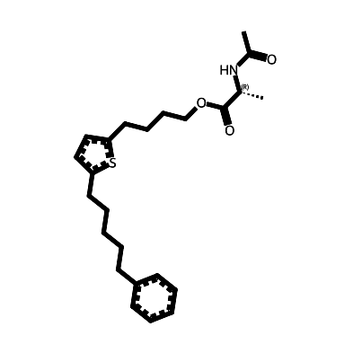 CC(=O)N[C@H](C)C(=O)OCCCCc1ccc(CCCCCc2ccccc2)s1